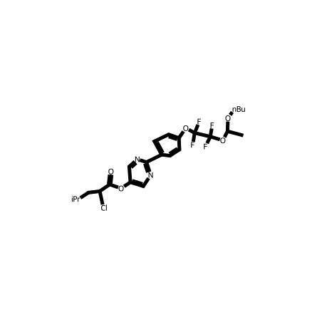 CCCCOC(C)OC(F)(F)C(F)(F)Oc1ccc(-c2ncc(OC(=O)C(Cl)CC(C)C)cn2)cc1